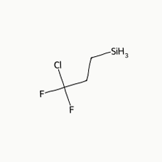 FC(F)(Cl)CC[SiH3]